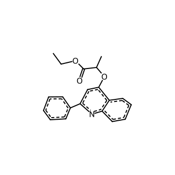 CCOC(=O)C(C)Oc1cc(-c2ccccc2)nc2ccccc12